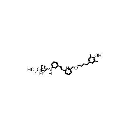 CCC(CC)(CCNc1cccc(C=Cc2cccc(COCCCCc3cc(C)c(O)c(C)c3)n2)c1)C(=O)O